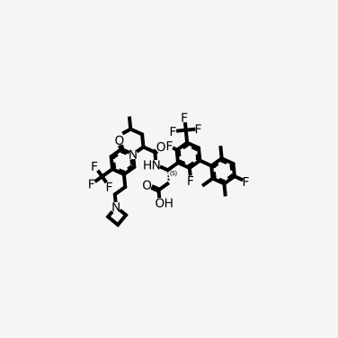 Cc1cc(F)c(C)c(C)c1-c1cc(C(F)(F)F)c(F)c([C@H](CC(=O)O)NC(=O)C(CC(C)C)n2cc(CCN3CCC3)c(C(F)(F)F)cc2=O)c1F